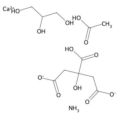 CC(=O)O.N.O=C([O-])CC(O)(CC(=O)[O-])C(=O)O.OCC(O)CO.[Ca+2]